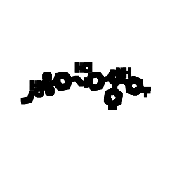 C=CCONS(=O)(=O)c1ccc(CCN2CC=C(c3c[nH]c(-c4ccc(F)cc4)c3-c3ccncc3)CC2)cc1.Cl